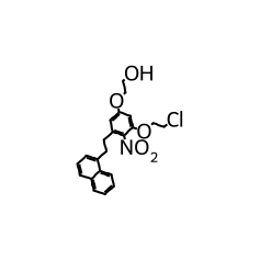 O=[N+]([O-])c1c(CCc2cccc3ccccc23)cc(OCCO)cc1OCCCl